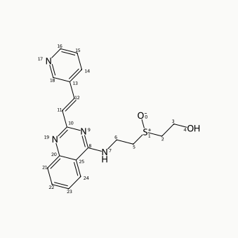 [O-][S+](CCO)CCNc1nc(C=Cc2cccnc2)nc2ccccc12